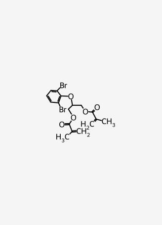 C=C(C)C(=O)OCC(COC(=O)C(=C)C)Oc1c(Br)cccc1Br